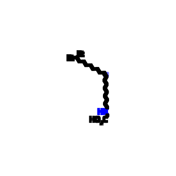 CCC(CC)CCCCCCC/C=C\CCCCCCCCNCC(=O)O